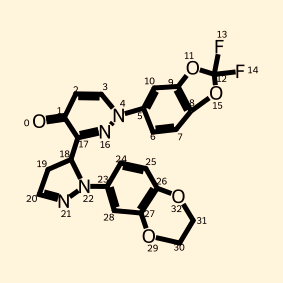 O=c1ccn(-c2ccc3c(c2)OC(F)(F)O3)nc1C1CC=NN1c1ccc2c(c1)OCCO2